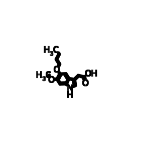 CCCCOc1cc2c(CC(=O)O)c[nH]c2cc1OC